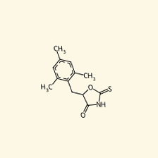 Cc1cc(C)c(CC2OC(=S)NC2=O)c(C)c1